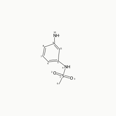 CS(=O)(=O)Nc1cccc([NH])c1